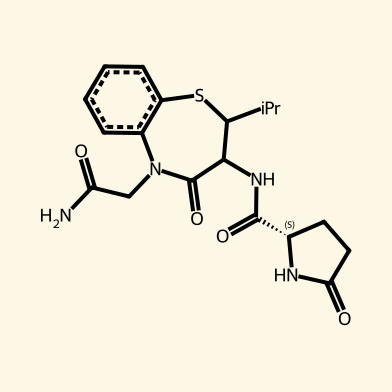 CC(C)C1Sc2ccccc2N(CC(N)=O)C(=O)C1NC(=O)[C@@H]1CCC(=O)N1